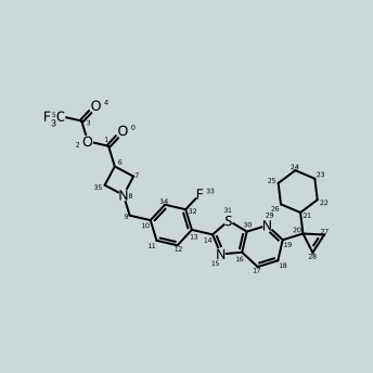 O=C(OC(=O)C(F)(F)F)C1CN(Cc2ccc(-c3nc4ccc(C5(C6CCCCC6)C=C5)nc4s3)c(F)c2)C1